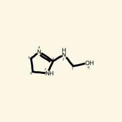 OCNC1=NCCN1